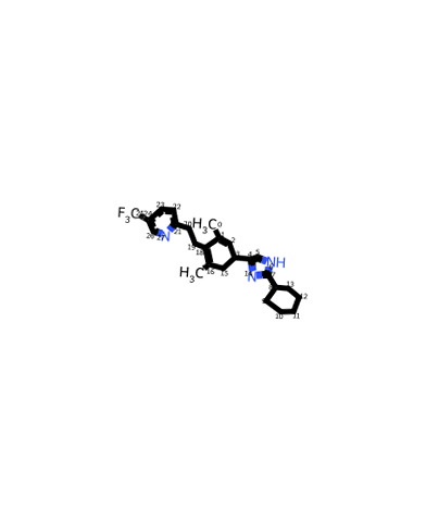 CC1=CC(c2c[nH]c(C3CCCCC3)n2)CC(C)=C1CCc1ccc(C(F)(F)F)cn1